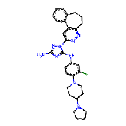 Nc1nc(Nc2ccc(N3CCC(N4CCCC4)CC3)c(F)c2)n(-c2cc3c(nn2)CCCc2ccccc2-3)n1